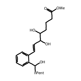 CCCCCC(O)c1ccccc1C=CC(O)C(O)CCCC(=O)OC